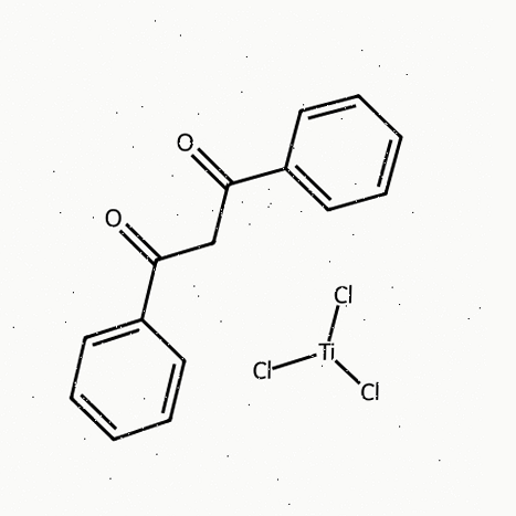 O=C(CC(=O)c1ccccc1)c1ccccc1.[Cl][Ti]([Cl])[Cl]